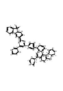 CC1(C)c2ccccc2-c2cc(-c3nc(-c4ccccc4)cc(-c4ccc(-c5cccc6c5nc(-c5ccccc5)c5ccc7oc8ccccc8c7c56)cc4)n3)ccc21